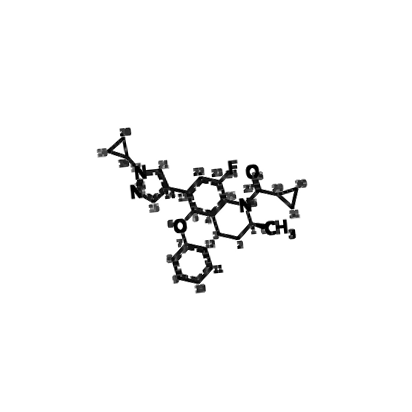 C[C@H]1CCc2c(Oc3ccccc3)c(-c3cnn(C4CC4)c3)cc(F)c2N1C(=O)C1CC1